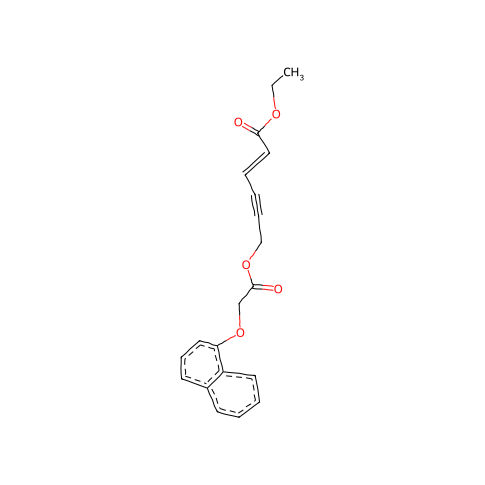 CCOC(=O)C=CC#CCOC(=O)COc1cccc2ccccc12